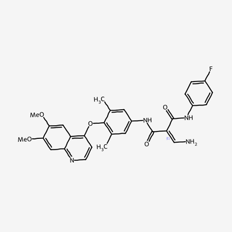 COc1cc2nccc(Oc3c(C)cc(NC(=O)/C(=C/N)C(=O)Nc4ccc(F)cc4)cc3C)c2cc1OC